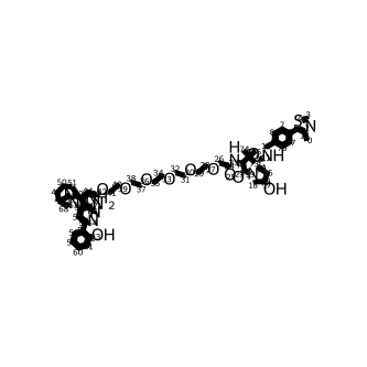 Cc1ncsc1-c1ccc(CNC(=O)[C@@H]2C[C@@H](O)CN2C(=O)[C@@H](NC(=O)COCCOCCOCCOCCOCCOc2cc(N3CC4CCC3CN(c3cc(-c5ccccc5O)nnc3N)C4)ccn2)C(C)(C)C)cc1